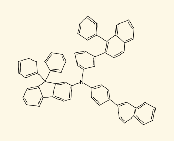 C1=CCCC(C2(c3ccccc3)c3ccccc3-c3ccc(N(c4ccc(-c5ccc6ccccc6c5)cc4)c4cccc(-c5ccc6ccccc6c5-c5ccccc5)c4)cc32)=C1